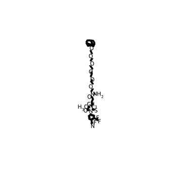 CC1(C)C(=O)N(c2ccc(C#N)c(C(F)(F)F)c2)C(=S)N1CCCC(=O)N(N)CCOCCOCCOCCOCCOCCOC12CC3CC(CC(C3)C1)C2